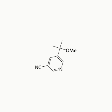 COC(C)(C)c1cncc(C#N)c1